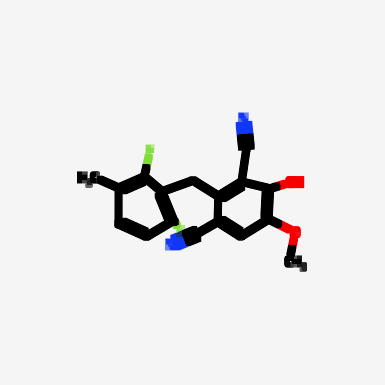 COc1cc(C#N)c(Cc2c(F)ccc(C)c2F)c(C#N)c1O